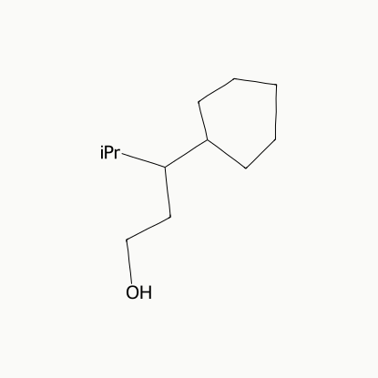 CC(C)C(CCO)C1CCCCC1